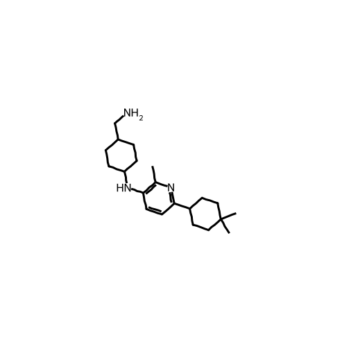 Cc1nc(C2CCC(C)(C)CC2)ccc1NC1CCC(CN)CC1